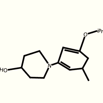 CC1C=C(N2CCC(O)CC2)C=C(OC(C)C)C1